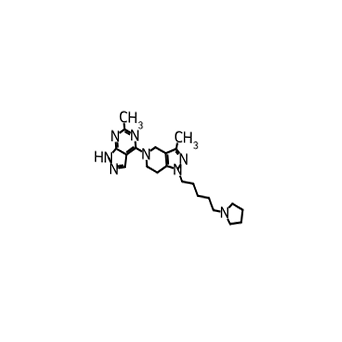 Cc1nc(N2CCc3c(c(C)nn3CCCCCN3CCCC3)C2)c2cn[nH]c2n1